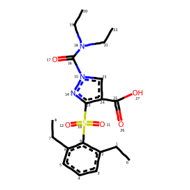 CCc1cccc(CC)c1S(=O)(=O)c1nn(C(=O)N(CC)CC)cc1C(=O)O